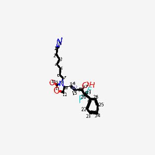 N#CCCCCCCN1C(=O)OC[C@@H]1/C=C/[C@@H](O)C(F)(F)c1ccccc1